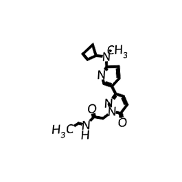 CCNC(=O)Cn1nc(-c2ccc(N(C)C3CCC3)nc2)ccc1=O